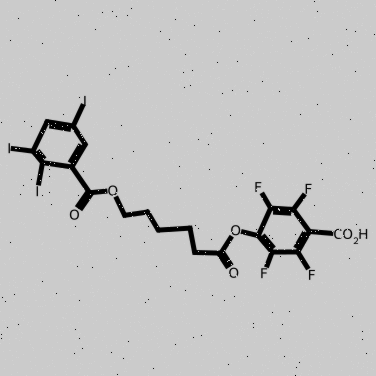 O=C(CCCCCOC(=O)c1cc(I)cc(I)c1I)Oc1c(F)c(F)c(C(=O)O)c(F)c1F